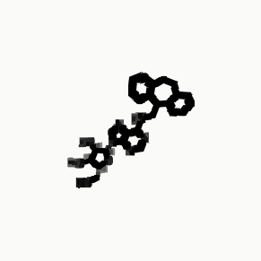 OC[C@H]1O[C@@H](n2cnc3c(NCC4c5ccccc5CCc5ccccc54)ncnc32)[C@H](O)[C@@H]1O